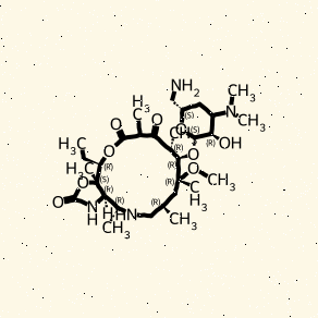 CC[C@H]1OC(=O)C(C)C(=O)[C@H](C)[C@@H](O[C@@H]2O[C@H](CN)CC(N(C)C)[C@H]2O)[C@](C)(OC)C[C@@H](C)CN[C@H](C)[C@H]2NC(=O)O[C@@]21C